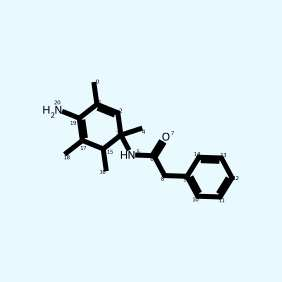 CC1=CC(C)(NC(=O)Cc2ccccc2)C(C)C(C)=C1N